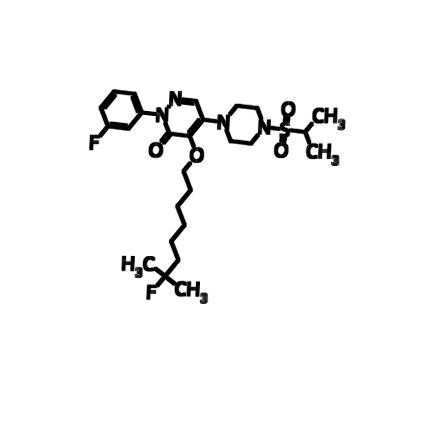 CC(C)S(=O)(=O)N1CCN(c2cnn(-c3cccc(F)c3)c(=O)c2OCCCCCCC(C)(C)F)CC1